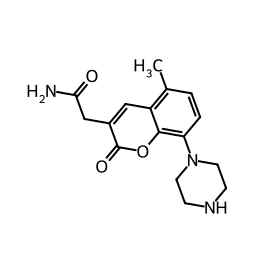 Cc1ccc(N2CCNCC2)c2oc(=O)c(CC(N)=O)cc12